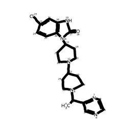 CC(c1cnccn1)N1CCC(N2CCC(n3c(=O)[nH]c4cc(Cl)ccc43)CC2)CC1